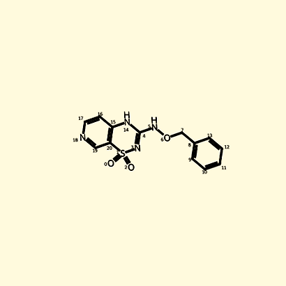 O=S1(=O)N=C(NOCc2ccccc2)Nc2ccncc21